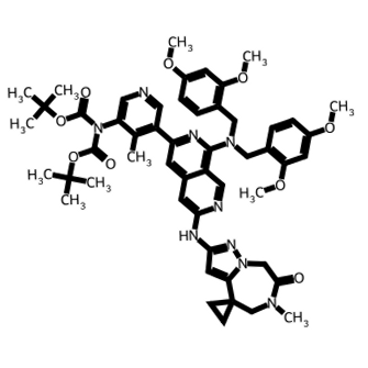 COc1ccc(CN(Cc2ccc(OC)cc2OC)c2nc(-c3cncc(N(C(=O)OC(C)(C)C)C(=O)OC(C)(C)C)c3C)cc3cc(Nc4cc5n(n4)CC(=O)N(C)CC54CC4)ncc23)c(OC)c1